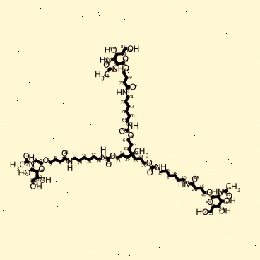 CC(=O)NCC(OCCCC(=O)NCCCCCCNC(=O)OCCCC(C)(CCCOC(=O)NCCCCCCNC(=O)CCCOC1OC(CO)C(O)C(O)C1NC(C)=O)CCCOC(=O)NCCCCCCNC(=O)CCCOC1OC(CO)C(O)C(O)C1NC(C)=O)OC(CO)C(O)CO